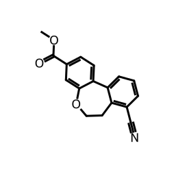 COC(=O)c1ccc2c(c1)OCCc1c(C#N)cccc1-2